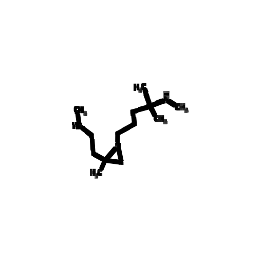 CNCCC1(C)CN1CCCC(C)(C)NC